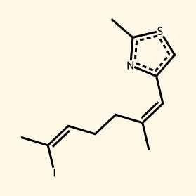 CC(I)=CCCC(C)=Cc1csc(C)n1